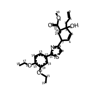 C=CCC1(O)C=CC(c2csc(-c3ccc(OCC)c(OCC)c3)n2)C=C1C(=O)OC